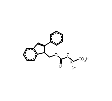 CC(C)[C@H](NC(=O)OCC1C(c2ccccc2)=Cc2ccccc21)C(=O)O